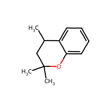 CC1CC(C)(C)Oc2cc[c]cc21